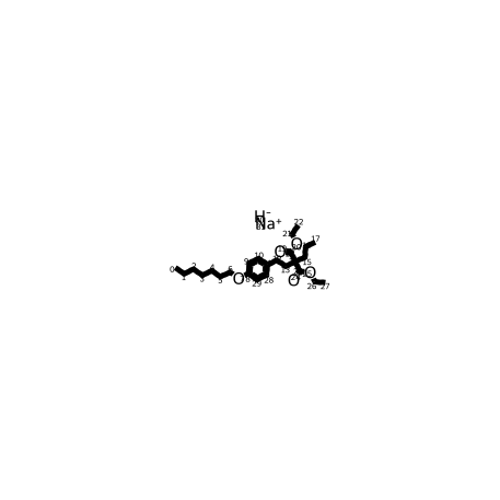 CCCCCCCOc1ccc(CCC(CCC)(C(=O)OCC)C(=O)OCC)cc1.[H-].[Na+]